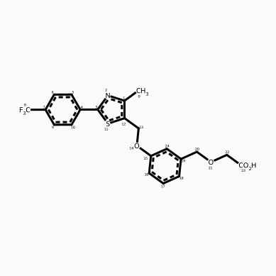 Cc1nc(-c2ccc(C(F)(F)F)cc2)sc1COc1cccc(COCC(=O)O)c1